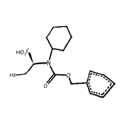 O=C(O)[C@H](CS)N(C(=O)OCc1ccccc1)C1CCCCC1